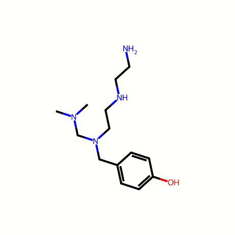 CN(C)CN(CCNCCN)Cc1ccc(O)cc1